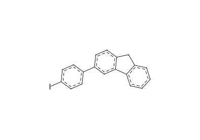 Ic1ccc(-c2ccc3c(c2)-c2ccccc2C3)cc1